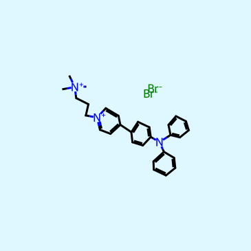 C[N+](C)(C)CCC[n+]1ccc(-c2ccc(N(c3ccccc3)c3ccccc3)cc2)cc1.[Br-].[Br-]